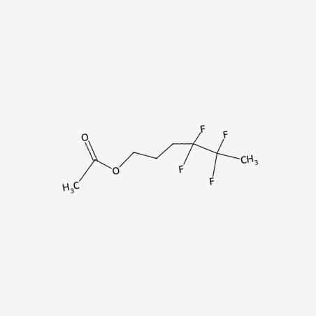 CC(=O)OCCCC(F)(F)C(C)(F)F